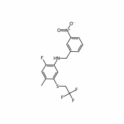 Cc1cc(F)c(NCc2cccc([N+](=O)[O-])c2)cc1SCC(F)(F)F